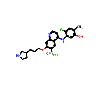 COc1cc2c(Nc3cc(O)c(C)cc3F)ccnc2cc1OCCCC1CCNC1.Cl